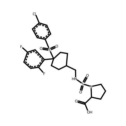 O=C(O)C1CCCN1S(=O)(=O)NCC1CCC(c2cc(F)ccc2F)(S(=O)(=O)c2ccc(Cl)cc2)CC1